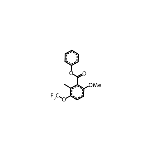 COc1ccc(OC(F)(F)F)c(C)c1C(=O)Oc1ccccc1